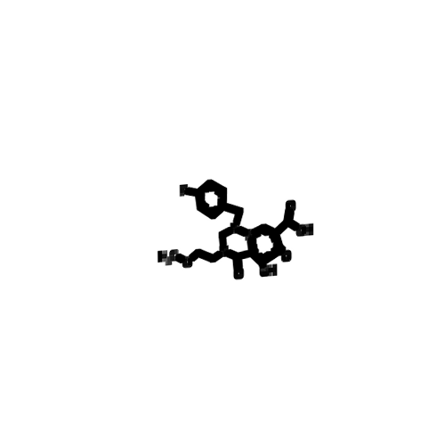 COCCN1CN(Cc2ccc(F)cc2)n2cc(C(=O)O)c(=O)c(O)c2C1=O